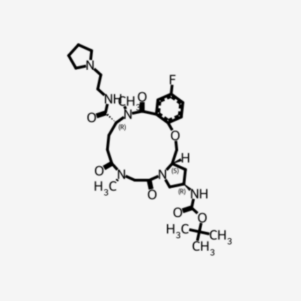 CN1CC(=O)N2C[C@H](NC(=O)OC(C)(C)C)C[C@H]2COc2ccc(F)cc2C(=O)N(C)[C@@H](C(=O)NCCN2CCCC2)CCC1=O